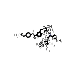 COCC1CCC(NC(=N)c2ccc3c(c2)CC[C@H]([C@](C)(O/N=C(\C(=O)N[C@@H]2C(=O)N(OS(=O)(=O)O)C2(C)C)c2csc(N)n2)C(=O)O)O3)CC1